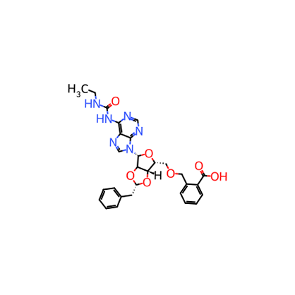 CCNC(=O)Nc1ncnc2c1ncn2[C@@H]1O[C@H](COCc2ccccc2C(=O)O)[C@@H]2O[C@H](Cc3ccccc3)OC21